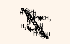 Cn1cnc(CCNc2nc(N[C@H]3CC[C@H](Nc4nc(NCCc5cn(C)cn5)nc5c4ncn5[C@@H]4C[C@H](NC(=O)C5CCC5)[C@@H](O)[C@H]4O)CC3)c3ncn([C@@H]4C[C@H](NC(=O)C5CCC5)[C@@H](O)[C@H]4O)c3n2)c1